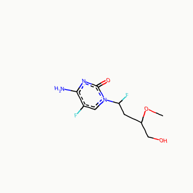 COC(CO)CC(F)n1cc(F)c(N)nc1=O